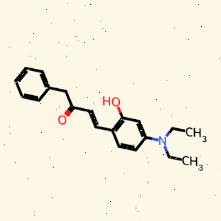 CCN(CC)c1ccc(C=CC(=O)Cc2ccccc2)c(O)c1